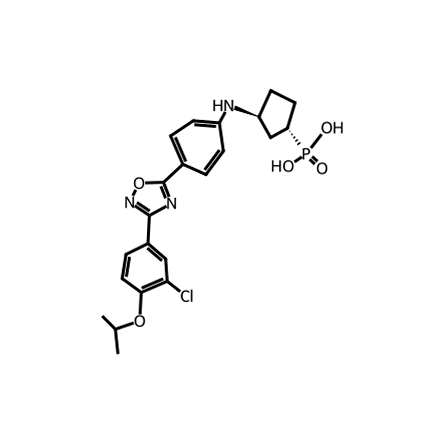 CC(C)Oc1ccc(-c2noc(-c3ccc(N[C@H]4CC[C@H](P(=O)(O)O)C4)cc3)n2)cc1Cl